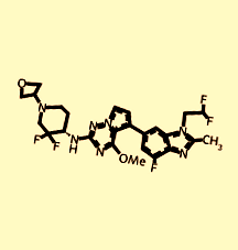 COc1nc(N[C@H]2CCN(C3COC3)CC2(F)F)nn2ccc(-c3cc(F)c4nc(C)n(CC(F)F)c4c3)c12